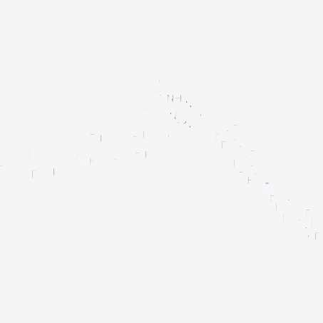 FC(F)(F)C(F)(F)C(F)(F)C(F)(F)C(F)(F)C(F)(F)/C=C/C(F)(F)C(F)(F)C(F)(F)C(F)(F)C(F)(F)C(F)(F)CCOc1nc(NC23CC4CC(CC(C4)C2)C3)nc(OCCC(F)(F)C(F)(F)C(F)(F)C(F)(F)C(F)(F)C(F)(F)/C=C/C(F)(F)C(F)(F)C(F)(F)C(F)(F)C(F)(F)C(F)(F)F)n1